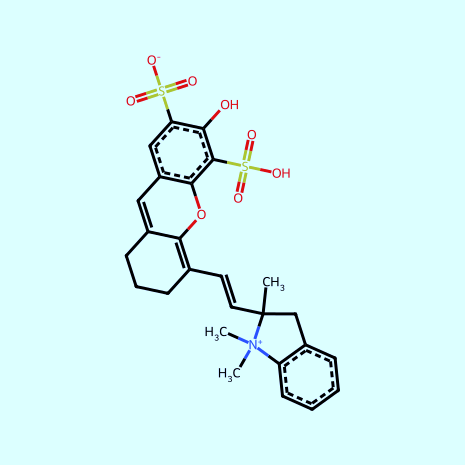 CC1(C=CC2=C3Oc4c(cc(S(=O)(=O)[O-])c(O)c4S(=O)(=O)O)C=C3CCC2)Cc2ccccc2[N+]1(C)C